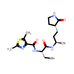 Cc1sc(C(F)(F)F)nc1C(=O)N[C@@H](CC(C)(C)C)C(=O)N[C@H](C#N)CC[C@@H]1CCNC1=O